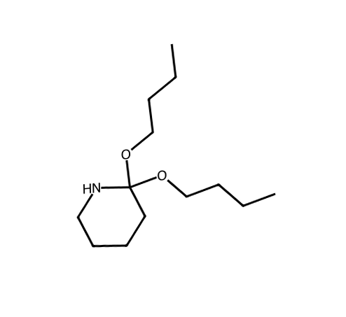 CCCCOC1(OCCCC)CCCCN1